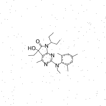 CCC(CC)N1C(=O)C(O)(CC)c2c(C)nc(N(CC)c3c(C)cc(C)cc3C)nc21